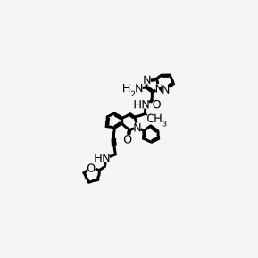 C[C@H](NC(=O)c1c(N)nc2cccnn12)c1cc2cccc(C#CCNCC3CCCO3)c2c(=O)n1-c1ccccc1